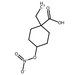 CCC1(C(=O)O)CCC(O[N+](=O)[O-])CC1